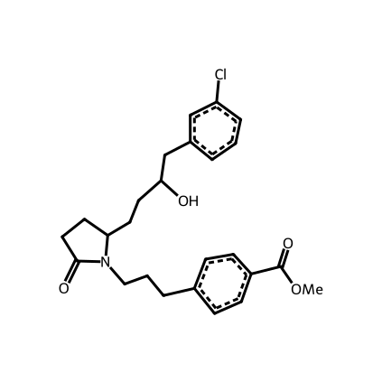 COC(=O)c1ccc(CCCN2C(=O)CCC2CCC(O)Cc2cccc(Cl)c2)cc1